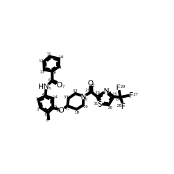 Cc1ccc(NC(=O)c2ccccc2)cc1OC1CCN(C(=O)c2nc(C(F)(F)F)cs2)CC1